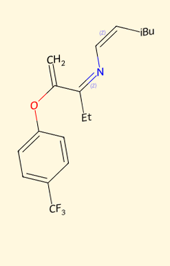 C=C(Oc1ccc(C(F)(F)F)cc1)/C(CC)=N\C=C/C(C)CC